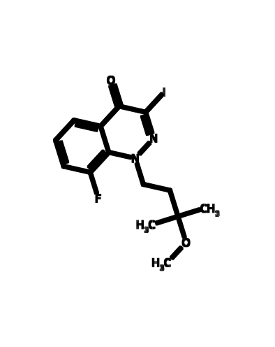 COC(C)(C)CCn1nc(I)c(=O)c2cccc(F)c21